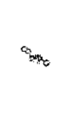 O=c1c(-c2cccnc2)c[nH]n1-c1cc(N2CCN3CCCCC3C2)ncn1